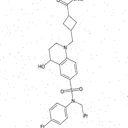 CCc1ccc(N(CC(C)C)S(=O)(=O)c2ccc3c(c2)C(O)CCN3CC2CC(C(=O)OC)C2)cc1